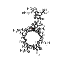 CCCCCCCC(=O)N[C@H](CC(=O)O)C(=O)N[C@@H](CCC(N)=O)[C@@H](O)[C@@H](O)C(=O)N[C@@H]1C(=O)N([C@H]2C(=O)N3C([C@@H](C)O)C(=O)N[C@H](CCCCN)C(=O)N[C@@H](CC(C)C)C(=O)N(C)[C@@H](CCC(N)=O)C(=O)N[C@@H]([C@H](OCC)C(N)=O)C(=O)N[C@H](CC(=O)O)C(=O)N4CCCC[C@H]4C(=O)O[C@@H]2[C@H]3C(C)C)[C@@H](C(N)=O)[C@@H]1C